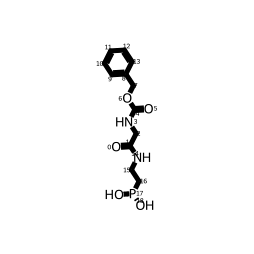 O=C(CNC(=O)OCc1ccccc1)NCCP(O)O